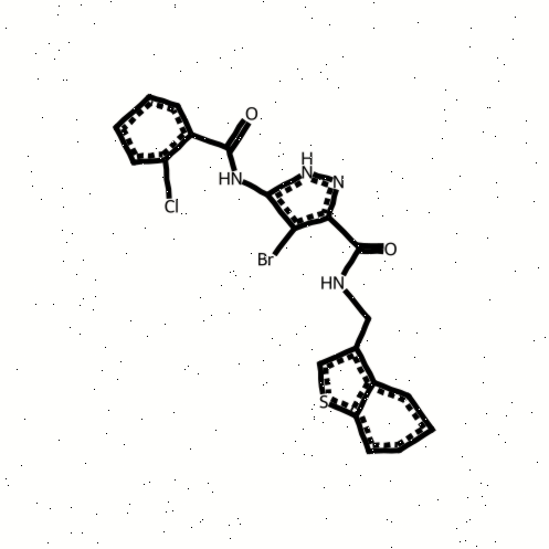 O=C(Nc1[nH]nc(C(=O)NCc2csc3ccccc23)c1Br)c1ccccc1Cl